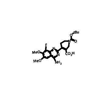 COc1cc2c(N)nc(C3=C(C(=O)O)CN(C(=O)OC(C)(C)C)CC3)nc2c(F)c1OC